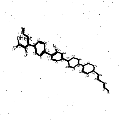 C=C/C=C(\C(F)=C(\F)CCCCCCC)c1ccc(-c2ccc(C3CCC(C4CCC(CC/C=C/C)CC4)CC3)cc2F)cc1